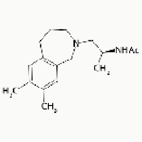 CC(=O)N[C@@H](C)CN1CCCc2cc(C)c(C)cc2C1